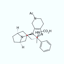 CC(=O)N1CCc2nc(C)n([C@H]3C[C@H]4CC[C@@H](C3)N4CC[C@H](NC(=O)O)c3ccccc3)c2C1